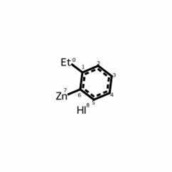 CCc1cccc[c]1[Zn].I